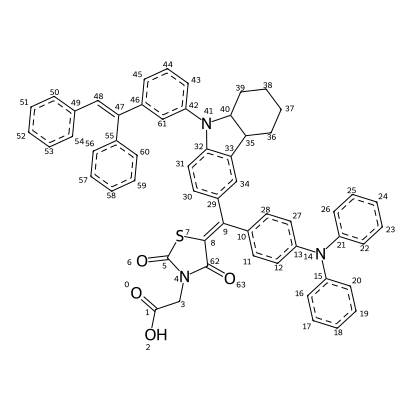 O=C(O)CN1C(=O)S/C(=C(/c2ccc(N(c3ccccc3)c3ccccc3)cc2)c2ccc3c(c2)C2CCCCC2N3c2cccc(C(=Cc3ccccc3)c3ccccc3)c2)C1=O